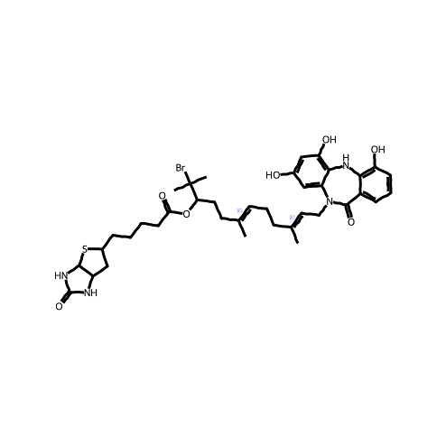 C/C(=C\CN1C(=O)c2cccc(O)c2Nc2c(O)cc(O)cc21)CC/C=C(\C)CCC(OC(=O)CCCCC1CC2NC(=O)NC2S1)C(C)(C)Br